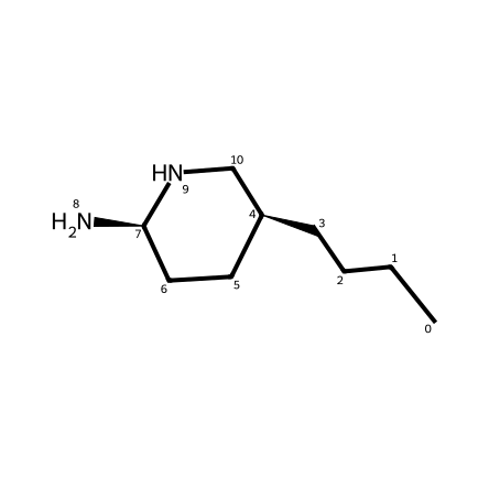 CCCC[C@H]1CC[C@@H](N)NC1